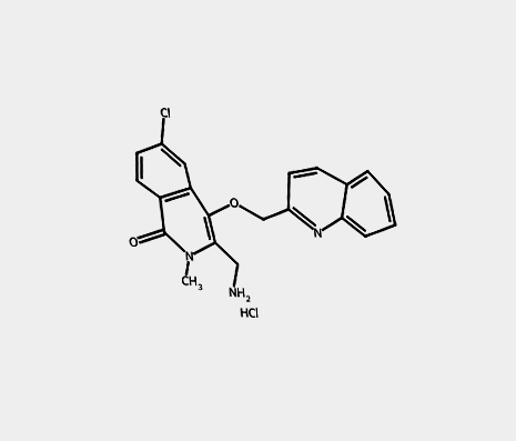 Cl.Cn1c(CN)c(OCc2ccc3ccccc3n2)c2cc(Cl)ccc2c1=O